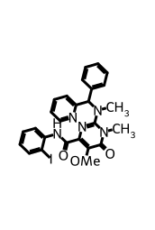 COc1c(C(=O)Nc2ccccc2I)nc(N(C)C(c2ccccc2)c2ccccn2)n(C)c1=O